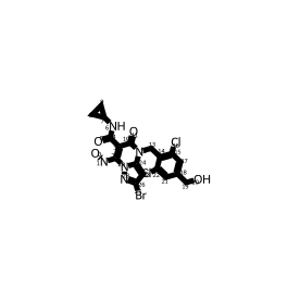 O=Nc1c(C(=O)NC2CC2)c(=O)n(Cc2c(Cl)cc(CO)cc2Cl)c2cc(Br)nn12